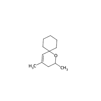 CC1=CC2(CCCCC2)OC(C)C1